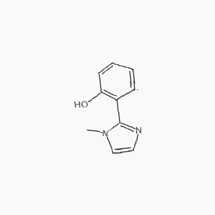 Cn1ccnc1-c1[c]cccc1O